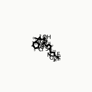 CC1(c2cccc(Cl)c2)CC1(NS(=O)(=O)c1ccc(-c2cc(C(F)(F)F)on2)s1)C(=O)O